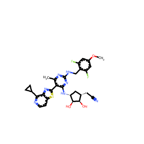 COc1cc(F)c(CNc2nc(C)c(-c3nc4c(C5CC5)nccc4s3)c(N[C@@H]3C[C@H](CC#N)[C@@H](O)[C@H]3O)n2)c(F)c1